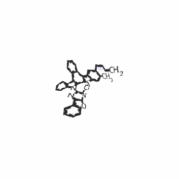 C=C/C=C\c1cc2c(cc1C)sc1c2c2ccccc2c2c3ccccc3n(-c3nc4c(nc3Cl)oc3ccccc34)c12